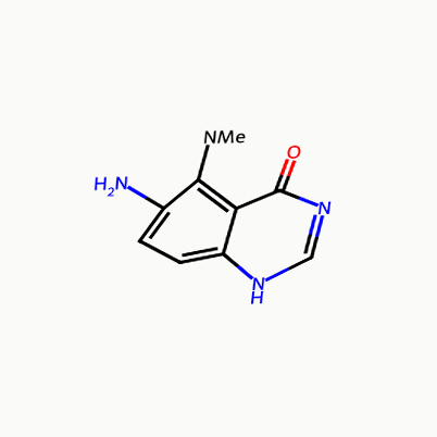 CNc1c(N)ccc2[nH]cnc(=O)c12